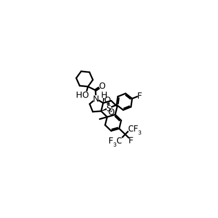 CC12CC=C(C(F)(C(F)(F)F)C(F)(F)F)C=C1CC[C@H]1N(C(=O)C3(O)CCCCC3)CC[C@]12S(=O)(=O)c1ccc(F)cc1